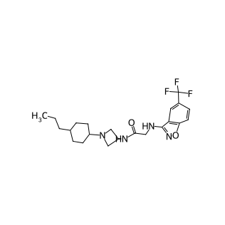 CCCC1CCC(N2CC(NC(=O)CNc3noc4ccc(C(F)(F)F)cc34)C2)CC1